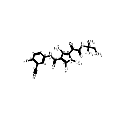 CCC(C)(C)NC(=O)C(=O)c1c(C)c(C(=O)Nc2ccc(F)c(C#N)c2)c(Cl)n1C